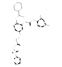 CC(C)C(Nc1ccc(OCC(=O)NS(=O)(=O)c2cccs2)cc1NC(=O)Nc1ccc(Cl)cc1F)C1CCCCC1